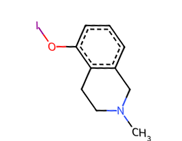 CN1CCc2c(cccc2OI)C1